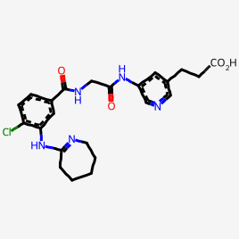 O=C(O)CCc1cncc(NC(=O)CNC(=O)c2ccc(Cl)c(NC3=NCCCCC3)c2)c1